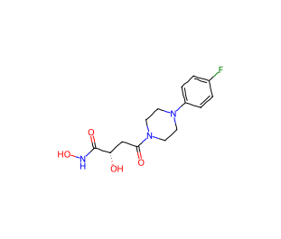 O=C(NO)[C@@H](O)CC(=O)N1CCN(c2ccc(F)cc2)CC1